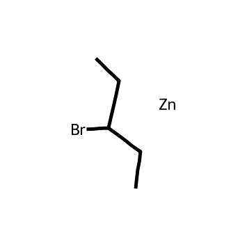 CCC(Br)CC.[Zn]